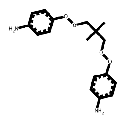 CC(C)(COOc1ccc(N)cc1)COOc1ccc(N)cc1